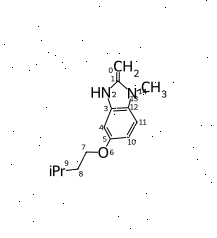 C=C1Nc2cc(OCCC(C)C)ccc2N1C